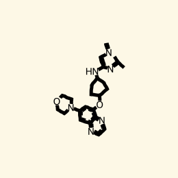 C=N/C=C(\N=C(C)C)NC1CCC(Oc2cc(N3CCOCC3)cc3nccnc23)CC1